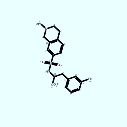 CCCN1CCc2ccc(S(=O)(=O)NC(Cc3cccc(C#N)c3)C(=O)O)cc2C1